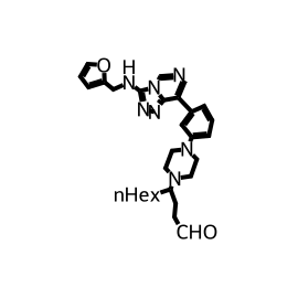 CCCCCCC(CCC=O)N1CCN(c2cccc(-c3cncn4c(NCc5ccco5)nnc34)c2)CC1